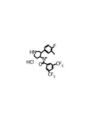 Cc1cc(C2CNCCC2N(C)C(=O)c2cc(C(F)(F)F)cc(C(F)(F)F)c2)ccc1F.Cl